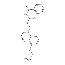 C[C@H](NC(=O)CCc1cccc2c(OCC(=O)O)cccc12)c1ccccc1